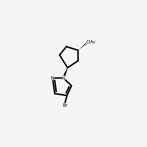 CC(=O)O[C@H]1CC[C@H](n2cc(Br)cn2)C1